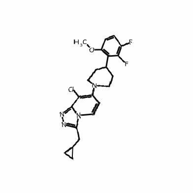 COc1ccc(F)c(F)c1C1CCN(c2ccn3c(CC4CC4)nnc3c2Cl)CC1